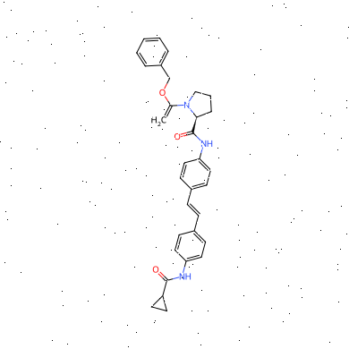 C=C(OCc1ccccc1)N1CCC[C@H]1C(=O)Nc1ccc(/C=C/c2ccc(NC(=O)C3CC3)cc2)cc1